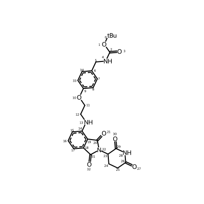 CC(C)(C)OC(=O)NCc1ccc(OCCNc2cccc3c2C(=O)N(C2CCC(=O)NC2=O)C3=O)cc1